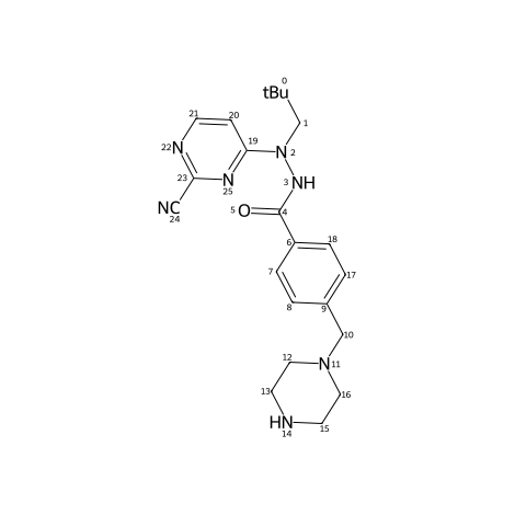 CC(C)(C)CN(NC(=O)c1ccc(CN2CCNCC2)cc1)c1ccnc(C#N)n1